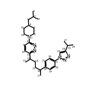 CC(C)CC1CCN(c2ccc(C(C)CCC(C)c3ccc(-n4cc(C(C)C)nn4)cc3)nn2)CC1